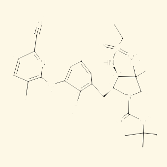 CCS(=O)(=O)N[C@@H]1[C@H](Cc2cccc(Oc3nc(C#N)ccc3C)c2F)N(C(=O)OC(C)(C)C)CC1(F)F